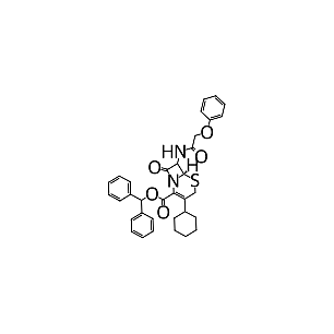 O=C(COc1ccccc1)NC1C(=O)N2C(C(=O)OC(c3ccccc3)c3ccccc3)=C(C3CCCCC3)CS[C@@H]12